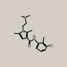 Cc1c(Cl)cccc1NC(=O)c1cc(C)n(CCN(C)C)c1C